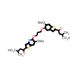 COc1cc2sc(C(=O)CC(C)C(=O)O)cc2cc1OCCCOc1nc2cc(C(=O)CC(C)C(=O)O)sc2cc1OC